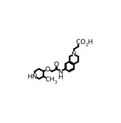 CC1CNCCC1OCC(=O)Nc1ccc2c(c1)CN(CCC(=O)O)CC2